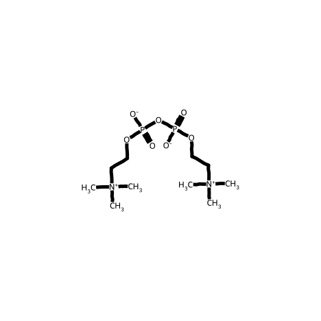 C[N+](C)(C)CCOP(=O)([O-])OP(=O)([O-])OCC[N+](C)(C)C